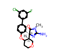 CN1C(=O)[C@]2(N=C1N)c1cc(-c3cc(F)cc(Cl)c3)ccc1OC1CCOC[C@@H]12